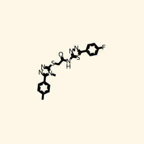 Cc1ccc(-c2nnc(SCC(=O)Nc3nnc(-c4ccc(F)cc4)s3)n2C)cc1